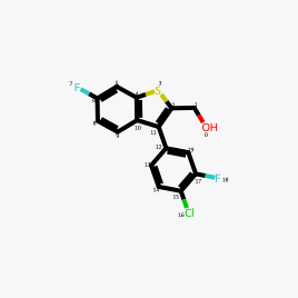 OCc1sc2cc(F)ccc2c1-c1ccc(Cl)c(F)c1